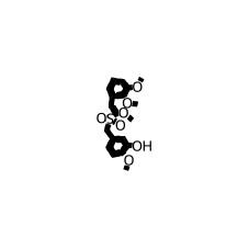 COC(=Cc1cccc(OC)c1OC)S(=O)(=O)Cc1ccc(OC)c(O)c1